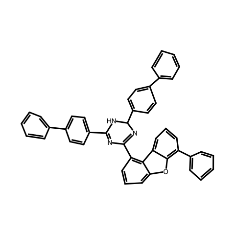 c1ccc(-c2ccc(C3=NC(c4cccc5oc6c(-c7ccccc7)cccc6c45)=NC(c4ccc(-c5ccccc5)cc4)N3)cc2)cc1